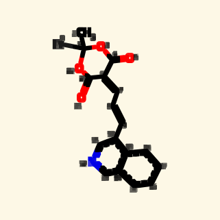 CCC1(C)OC(=O)C(=CC=Cc2cncc3ccccc23)C(=O)O1